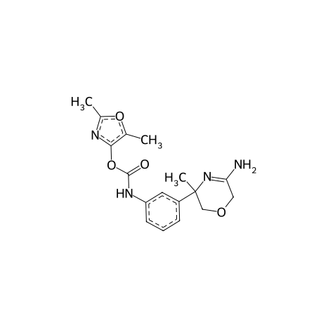 Cc1nc(OC(=O)Nc2cccc(C3(C)COCC(N)=N3)c2)c(C)o1